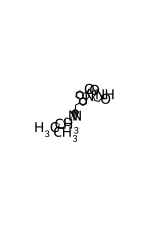 CC(C)(C)C[C@H]1CC[C@@H](n2cc(Cc3ccc4c5c(cccc35)C(=O)N4C3CCC(=O)NC3=O)cn2)CC1